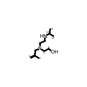 C=C(C)CN(CCO)CCNC(C)C